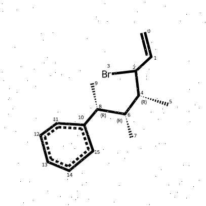 C=CC(Br)[C@H](C)[C@H](C)[C@@H](C)c1ccccc1